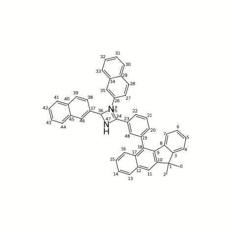 CC1(C)c2ccccc2-c2c1cc1ccccc1c2-c1cccc(C2=[N+](c3ccc4ccccc4c3)C(c3ccc4ccccc4c3)N2)c1